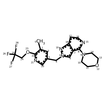 Cc1cc(Cn2cc3c(N4CCOCC4)nccc3n2)cnc1OCC(F)(F)F